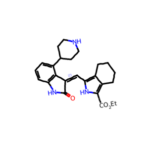 CCOC(=O)c1[nH]c(/C=C2\C(=O)Nc3cccc(C4CCNCC4)c32)c2c1CCCC2